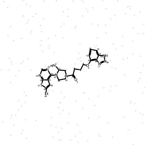 CCCC1CN(C(=O)CCCOc2cccc3[nH]nnc23)CCN1c1ncnc2sc(CC)cc12